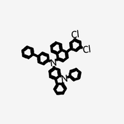 Clc1cc(Cl)cc(-c2ccc(N(c3ccc(-c4ccccc4)cc3)c3ccc4c5ccccc5n(-c5ccccc5)c4c3)c3ccccc23)c1